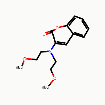 CCCCOCCN(CCOCCCC)c1cc2ccccc2oc1=O